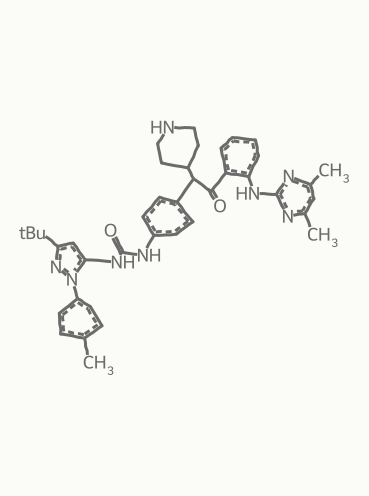 Cc1ccc(-n2nc(C(C)(C)C)cc2NC(=O)Nc2ccc(C(C(=O)c3ccccc3Nc3nc(C)cc(C)n3)C3CCNCC3)cc2)cc1